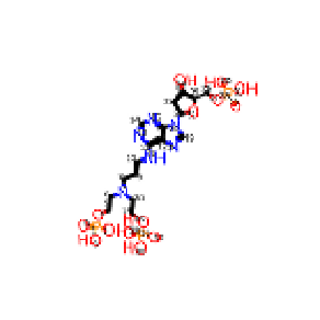 O=P(O)(O)OCCN(CCCNc1ncnc2c1ncn2[C@H]1C[C@@H](O)[C@@H](COP(=O)(O)O)O1)CCOP(=O)(O)O